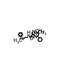 CN(CCCNC(=O)c1cnn2c1NC(C1CCCCC1)CC2(C)C)c1ccccc1